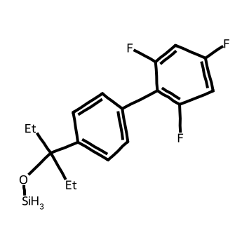 CCC(CC)(O[SiH3])c1ccc(-c2c(F)cc(F)cc2F)cc1